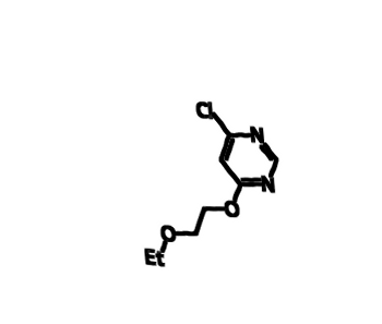 CCOCCOc1cc(Cl)ncn1